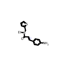 CCN(Cc1cccs1)C(=O)/C=C/c1ccc(N)cc1